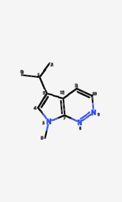 CC(C)c1cn(C)c2nnccc12